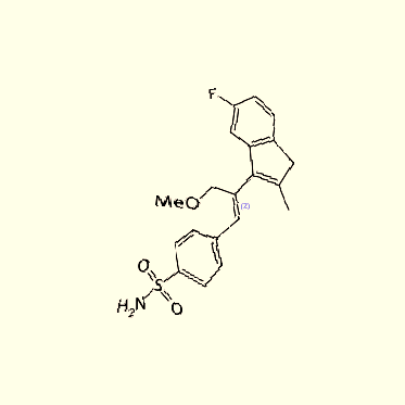 COC/C(=C\c1ccc(S(N)(=O)=O)cc1)C1=C(C)Cc2ccc(F)cc21